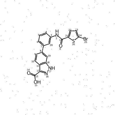 O=C(Nc1cccc(-c2ccc3c(C(=O)O)n[nH]c3c2)c1)c1ccc(Br)s1